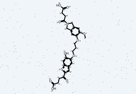 COc1cc2c(cc1OCCCOc1cc3cc(C(=O)CCC(=O)O)sc3cc1O)CN(C(=O)CCC(=O)O)C2